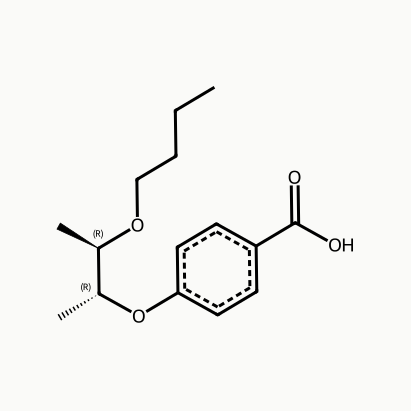 CCCCO[C@H](C)[C@@H](C)Oc1ccc(C(=O)O)cc1